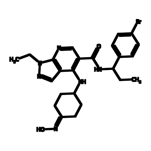 CCC(NC(=O)c1cnc2c(cnn2CC)c1NC1CCC(=NO)CC1)c1ccc(Br)cc1